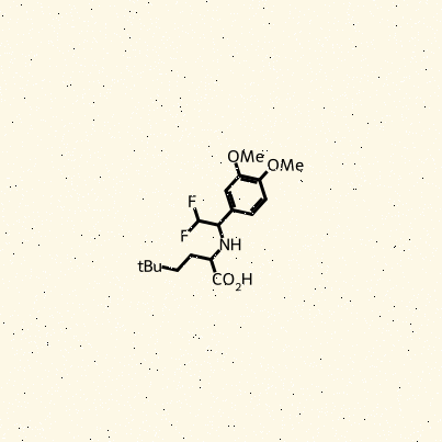 COc1ccc(C(NC(CCC(C)(C)C)C(=O)O)C(F)F)cc1OC